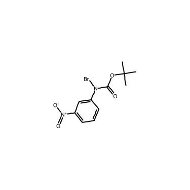 CC(C)(C)OC(=O)N(Br)c1cccc([N+](=O)[O-])c1